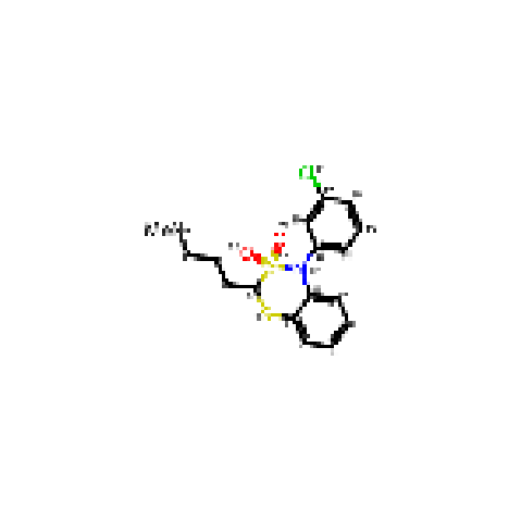 CNCCCC1Sc2ccccc2N(c2cccc(Cl)c2)S1(=O)=O